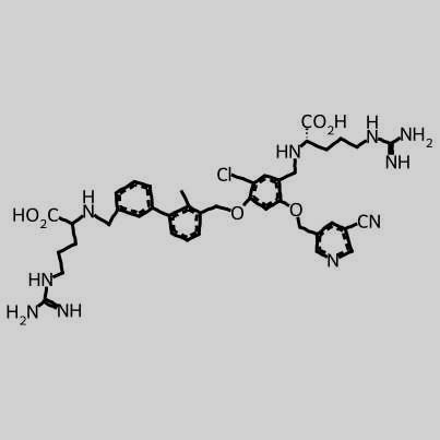 Cc1c(COc2cc(OCc3cncc(C#N)c3)c(CN[C@@H](CCCNC(=N)N)C(=O)O)cc2Cl)cccc1-c1cccc(CNC(CCCNC(=N)N)C(=O)O)c1